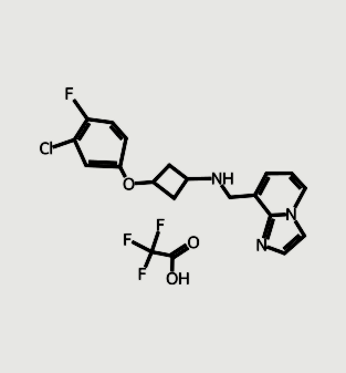 Fc1ccc(OC2CC(NCc3cccn4ccnc34)C2)cc1Cl.O=C(O)C(F)(F)F